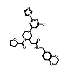 O=C(CC1CN(c2cc(Cl)nc(-n3ccnc3)n2)CCN1C(=O)C1CCCO1)NCc1ccc2c(c1)OCCO2